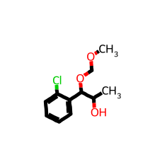 COCOC(c1ccccc1Cl)C(C)O